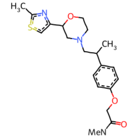 CNC(=O)COc1ccc(C(C)CN2CCOC(c3csc(C)n3)C2)cc1